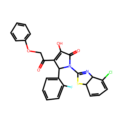 O=C(COc1ccccc1)C1=C(O)C(=O)N(C2=NC3C(Cl)=CC=CC3S2)C1c1ccccc1F